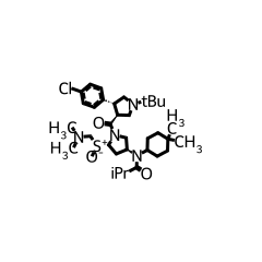 CC(C)C(=O)N(C1CCC(C)(C)CC1)[C@H]1C[C@H]([S+]([O-])CN(C)C)N(C(=O)[C@@H]2CN(C(C)(C)C)C[C@H]2c2ccc(Cl)cc2)C1